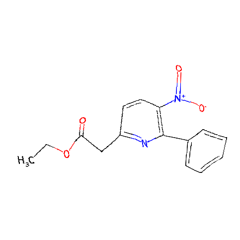 CCOC(=O)Cc1ccc([N+](=O)[O-])c(-c2ccccc2)n1